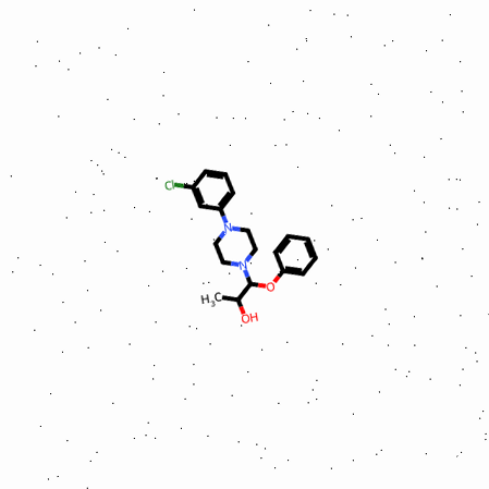 CC(O)C(Oc1ccccc1)N1CCN(c2cccc(Cl)c2)CC1